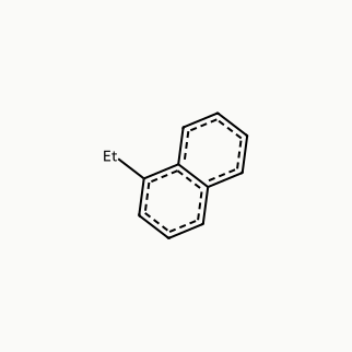 [CH]Cc1cccc2ccccc12